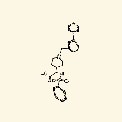 COC(=O)C(NS(=O)(=O)c1ccccc1)C1CCN(Cc2cccc(-c3ccccc3)c2)CC1